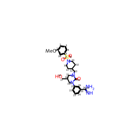 COc1cccc(S(=O)(=O)N2CCC(CN3CC(CO)CN(c4cccc(C(=N)N)c4)C3=O)CC2)c1